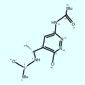 C[C@@H](N[S+]([O-])C(C)(C)C)c1cc(NC(=O)C(C)(C)C)nnc1Cl